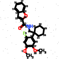 COc1cc(F)c(C2(CNC(=O)c3cc4ccccc4o3)CCCCC2)cc1OC